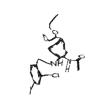 CCOC(=O)c1ccc(NC(C)=O)c(NCc2ccc(I)cc2Cl)c1